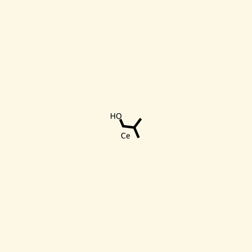 CC(C)CO.[Ce]